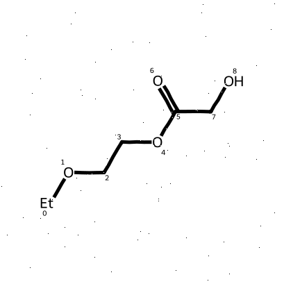 CCOCCOC(=O)CO